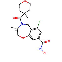 C[C@H]1COc2cc(C(=O)NO)cc(F)c2CN1C(=O)C1(C)CCOCC1